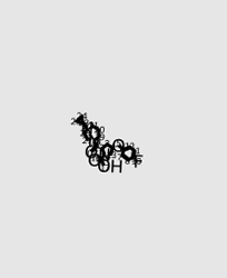 O=C([C@H]1C[C@H](Oc2ccc(F)cc2)CN1C(=O)O)N1CCCN(C2CC2)CC1